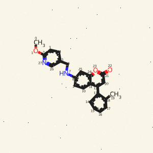 COc1ccc(CNc2ccc3c(-c4ccccc4C)cc(=O)oc3c2)cn1